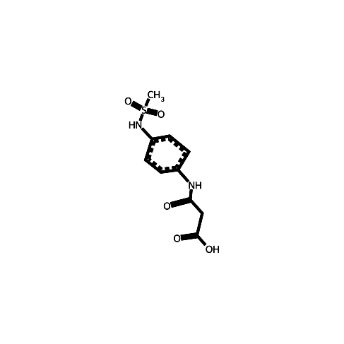 CS(=O)(=O)Nc1ccc(NC(=O)CC(=O)O)cc1